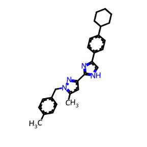 Cc1ccc(Cn2nc(-c3nc(-c4ccc(C5CCCCC5)cc4)c[nH]3)cc2C)cc1